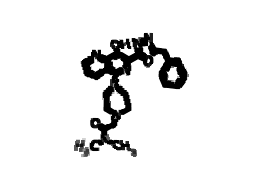 CN(C)C(=O)CN1CCN(c2nc(-c3nnc(Cc4ccccc4)o3)c(O)c3ncccc23)CC1